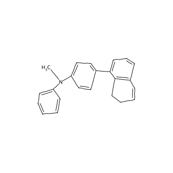 CN(c1ccccc1)c1ccc(-c2cccc3c2CCC=C3)cc1